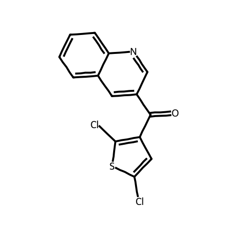 O=C(c1cnc2ccccc2c1)c1cc(Cl)sc1Cl